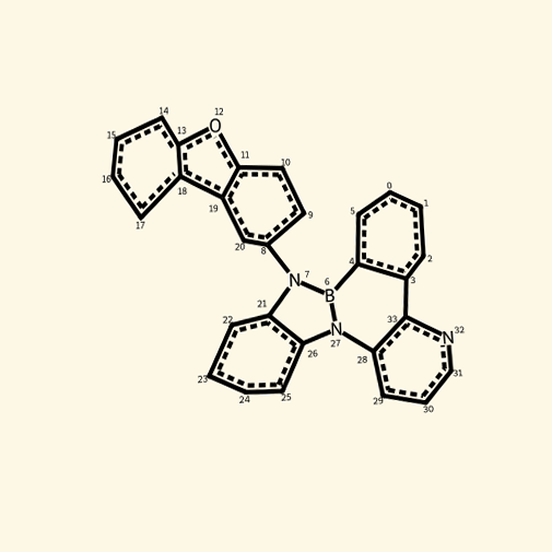 c1ccc2c(c1)B1N(c3ccc4oc5ccccc5c4c3)c3ccccc3N1c1cccnc1-2